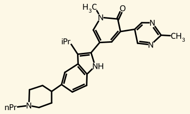 CCCN1CCC(c2ccc3[nH]c(-c4cc(-c5cnc(C)nc5)c(=O)n(C)c4)c(C(C)C)c3c2)CC1